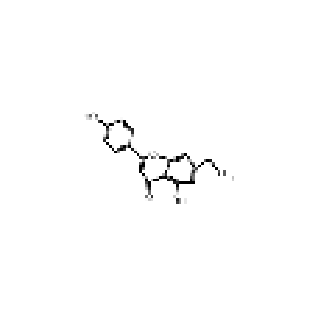 CCc1cc(O)c2c(=O)cc(-c3ccc(O)cc3)oc2c1